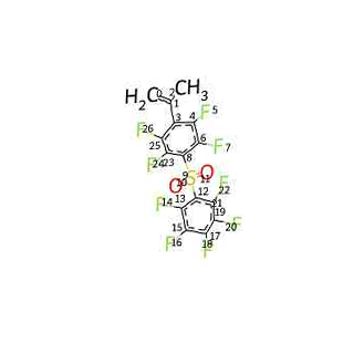 C=C(C)c1c(F)c(F)c(S(=O)(=O)c2c(F)c(F)c(F)c(F)c2F)c(F)c1F